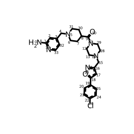 Nc1cc(CN2CCC(C(=O)N3CCN(Cc4cc(-c5ccc(Cl)cc5)on4)CC3)CC2)ccn1